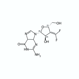 NC1=NC2C(N=CN2[C@@H]2O[C@H](CO)C(=C(F)F)[C@H]2O)C(=O)N1